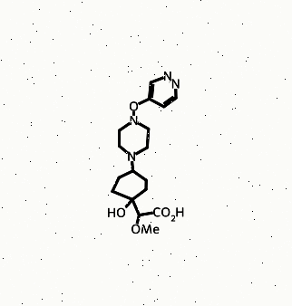 COC(C(=O)O)C1(O)CCC(N2CCN(Oc3ccnnc3)CC2)CC1